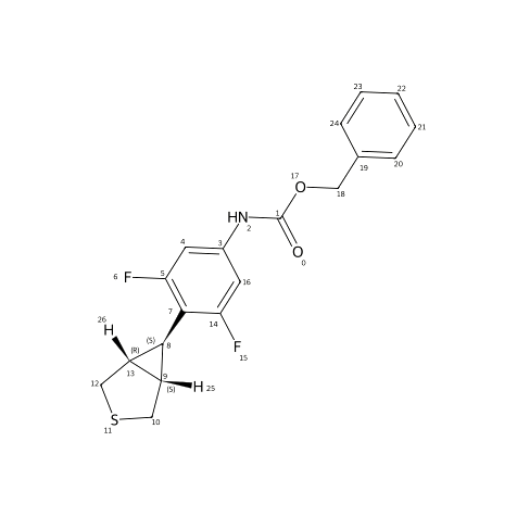 O=C(Nc1cc(F)c([C@H]2[C@@H]3CSC[C@@H]32)c(F)c1)OCc1ccccc1